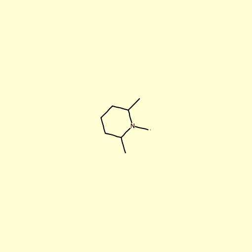 [CH2]N1C(C)CCCC1C